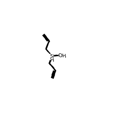 C=CC[SiH](O)CC=C